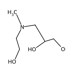 CN(CCO)CC(O)C[O]